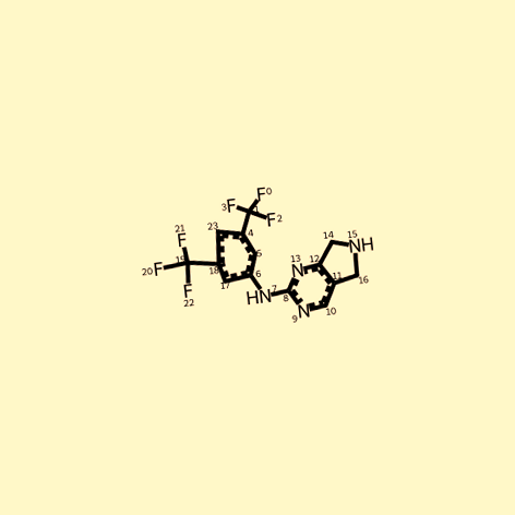 FC(F)(F)c1cc(Nc2ncc3c(n2)CNC3)cc(C(F)(F)F)c1